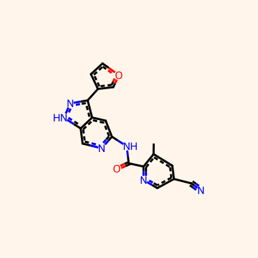 Cc1cc(C#N)cnc1C(=O)Nc1cc2c(-c3ccoc3)n[nH]c2cn1